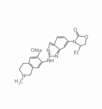 CCC1COC(=O)N1c1ccc2cnc(Nc3cc4c(cc3OC)CCN(C)C4)nc2c1